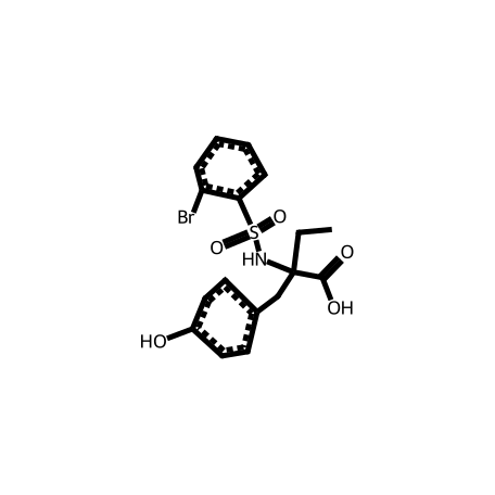 CCC(Cc1ccc(O)cc1)(NS(=O)(=O)c1ccccc1Br)C(=O)O